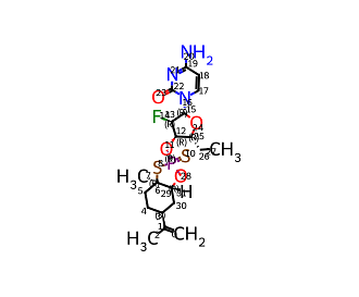 C=C(C)[C@H]1CC[C@@]2(C)S[P@](=S)(O[C@H]3[C@@H](F)[C@H](n4ccc(N)nc4=O)O[C@@H]3CC)O[C@@H]2C1